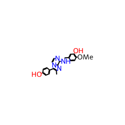 COc1ccc(CNc2nccn3c(-c4ccc(O)cc4)c(C)nc23)cc1O